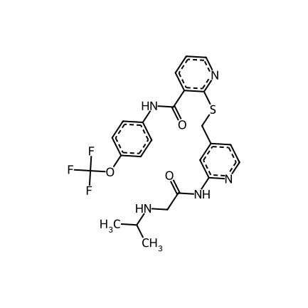 CC(C)NCC(=O)Nc1cc(CSc2ncccc2C(=O)Nc2ccc(OC(F)(F)F)cc2)ccn1